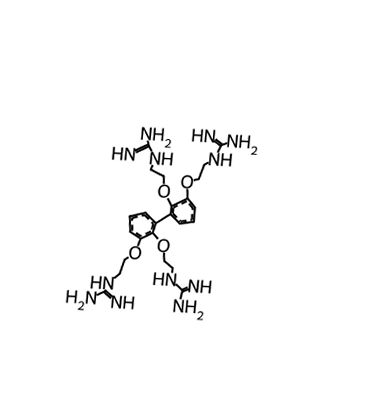 N=C(N)NCCOc1cccc(-c2cccc(OCCNC(=N)N)c2OCCNC(=N)N)c1OCCNC(=N)N